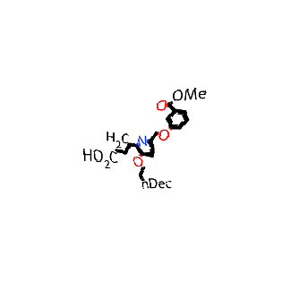 C=C(CCC(=O)O)c1nc(COc2cccc(C(=O)OC)c2)ccc1OCCCCCCCCCCCC